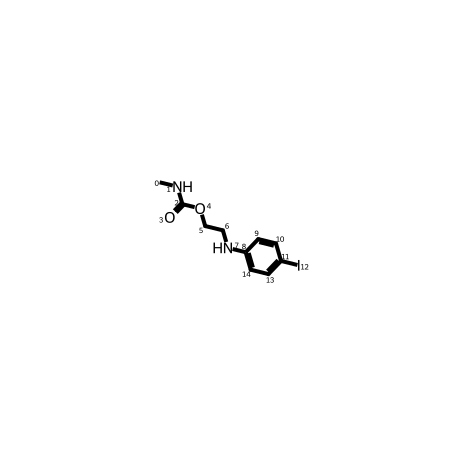 CNC(=O)OCCNc1ccc(I)cc1